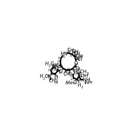 CCCNC[C@]1(O)[C@H](C)O[C@@H](O[C@H]2[C@H](C)[C@@H](O[C@@H]3O[C@H](C)C[C@H](N(C)C)[C@H]3O)[C@](C)(O)CCCN[C@H](C)[C@@H](O)[C@](C)(O)[C@@H](CC)OC(=O)[C@@H]2C)C[C@@]1(C)OC